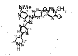 CNc1cc2c(cn1)c(-c1ccc(C3CCNCC3)nc1)nn2[C@H]1CC[C@@H](Oc2ccc(=O)n(C)n2)CC1